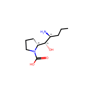 CCC[C@H](N)[C@H](O)[C@H]1CCCN1C(=O)O